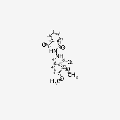 COc1ccc(CNNC(=O)c2ccccc2C=O)c(C=O)c1OC